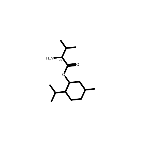 CC1CCC(C(C)C)C(OC(=O)[C@@H](N)C(C)C)C1